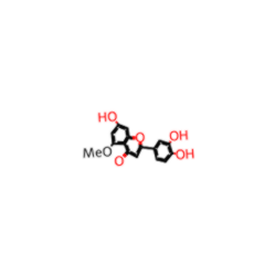 COc1cc(O)cc2oc(-c3ccc(O)c(O)c3)cc(=O)c12